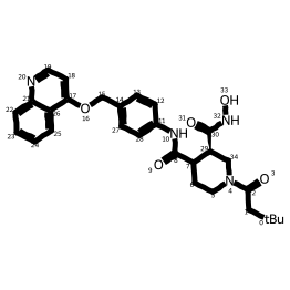 CC(C)(C)CC(=O)N1CCC(C(=O)Nc2ccc(COc3ccnc4ccccc34)cc2)[C@@H](C(=O)NO)C1